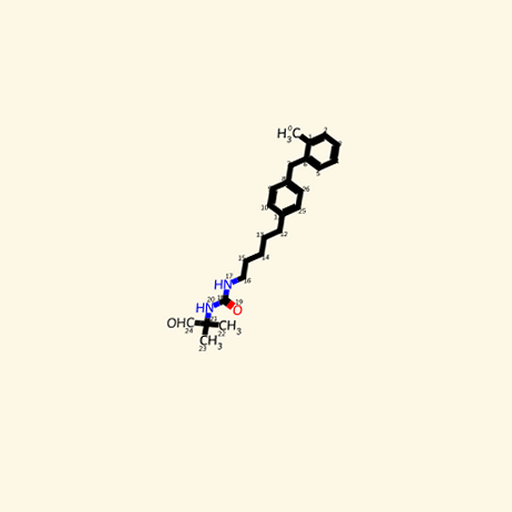 Cc1ccccc1Cc1ccc(CCCCCNC(=O)NC(C)(C)C=O)cc1